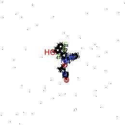 O=C1CC2CCC1CN2CC1(COc2nc(N3CC4CCC(C3)N4)c3cc(F)c(-c4cc(O)cc5ccc(F)c(F)c45)c(F)c3n2)CC1